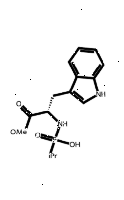 COC(=O)[C@H](Cc1c[nH]c2ccccc12)NP(=O)(O)C(C)C